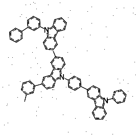 Cc1cccc(-c2ccc3c(c2)c2cc(-c4ccc5c(c4)c4ccccc4n5-c4cccc(-c5ccccc5)c4)ccc2n3-c2ccc(-c3ccc4c(c3)c3ccccc3n4-c3ccccc3)cc2)c1